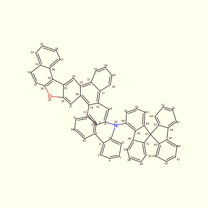 c1ccc(-c2ccccc2N(c2ccc3c(c2)c2ccccc2c2cc4c(cc32)oc2ccc3ccccc3c24)c2cccc3c2-c2ccccc2C32c3ccccc3-c3ccccc32)cc1